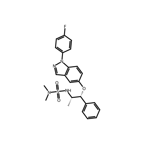 C[C@H](NS(=O)(=O)N(C)C)[C@H](Oc1ccc2c(cnn2-c2ccc(F)cc2)c1)c1ccccc1